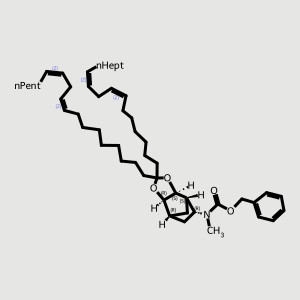 CCCCC/C=C\C/C=C\CCCCCCCCC1(CCCCCC/C=C\C/C=C\CCCCCCC)O[C@@H]2[C@@H]3C[C@H]([C@@H]2O1)[C@H](N(C)C(=O)OCc1ccccc1)C3